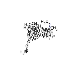 C=C/C=C\C=C(/C)[C@H](O)[C@@H](C)NC(=O)[C@H](C)[C@@H](OC)[C@@H]1CCCN1C(=O)C[C@@H](OC)[C@H]([C@@H](C)CC)N(C)C(=O)[C@@H](NC(=O)[C@H](C(C)C)N(C)C(=O)COCCOCCOCCOCCON)C(C)C